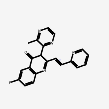 Cc1nccnc1C1C(=O)c2cc(F)ccc2N=C1/C=C/c1ccccn1